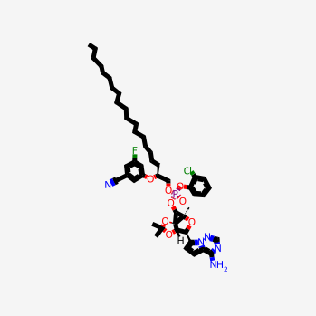 CCCCCCCCCCCCCCCCCC[C@@H](COP(=O)(Oc1ccccc1Cl)OC1[C@@]2(C)O[C@@H](c3ccc4c(N)ncnn34)[C@@H]3OC(C)(C)O[C@@]132)Oc1cc(F)cc(C#N)c1